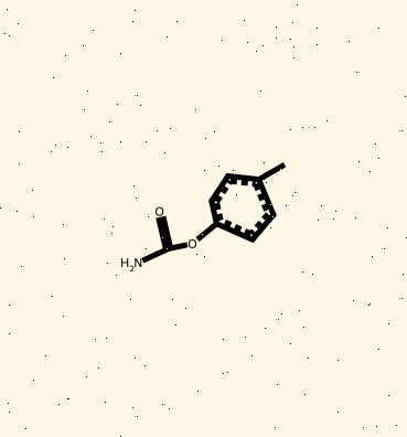 Cc1ccc(OC(N)=O)cc1